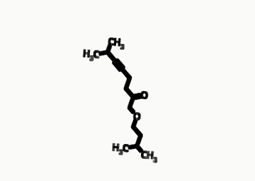 CC(C)C#CCCC(=O)COCCC(C)C